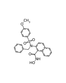 COc1ccc(S(=O)(=O)N(Cc2ccccc2)c2ccc3ccccc3c2C(=O)NO)cc1